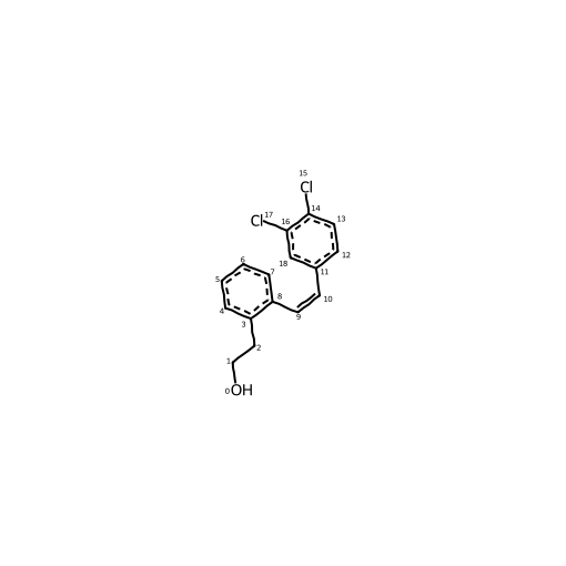 OCCc1ccccc1/C=C\c1ccc(Cl)c(Cl)c1